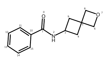 O=C(NC1CC2(COC2)C1)c1ccccc1